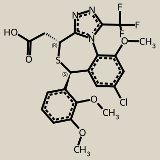 COc1cccc([C@H]2S[C@H](CC(=O)O)c3nnc(C(F)(F)F)n3-c3c(OC)cc(Cl)cc32)c1OC